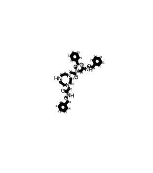 O=C(CN1CCNCCN(CC(=O)N(CC(=O)NOCc2ccccc2)OCc2ccccc2)CC1)NOCc1ccccc1